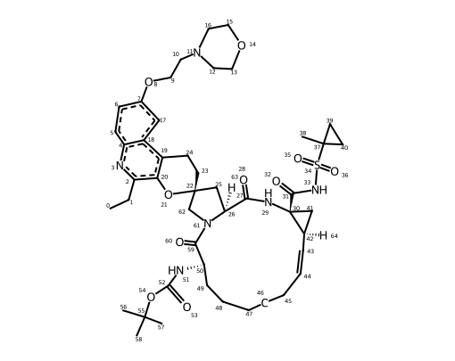 CCc1nc2ccc(OCCN3CCOCC3)cc2c2c1O[C@]1(CC2)C[C@H]2C(=O)N[C@]3(C(=O)NS(=O)(=O)C4(C)CC4)C[C@H]3/C=C\CCCCC[C@H](NC(=O)OC(C)(C)C)C(=O)N2C1